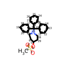 CS(=O)(=O)OC1CCN(C(c2ccccc2)(c2ccccc2)c2ccccc2)CC1